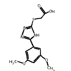 COc1cc(OC)cc(-c2nnc(SCC(=O)O)[nH]2)c1